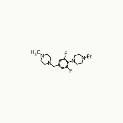 CCN1CCN(c2c(F)cc(CN3CCN(C)CC3)cc2F)CC1